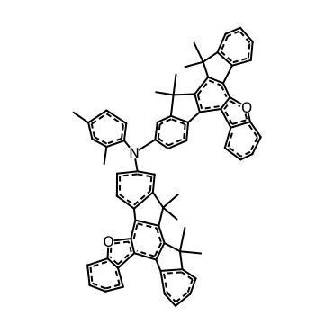 Cc1ccc(N(c2ccc3c(c2)C(C)(C)c2c4c(c5c(oc6ccccc65)c2-3)-c2ccccc2C4(C)C)c2ccc3c(c2)C(C)(C)c2c4c(c5oc6ccccc6c5c2-3)-c2ccccc2C4(C)C)c(C)c1